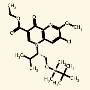 CCOC(=O)c1cn([C@H](CO[Si](C)(C)C(C)(C)C)C(C)C)c2cc(Cl)c(OC)nc2c1=O